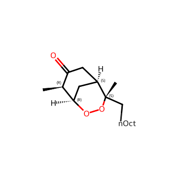 CCCCCCCCC[C@]1(C)OO[C@@H]2C[C@H]1CC(=O)[C@@H]2C